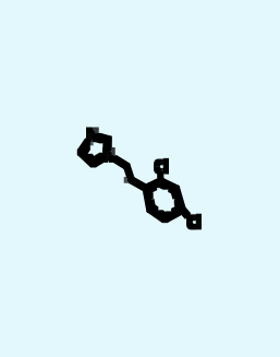 Clc1ccc([CH]Cn2ccnc2)c(Cl)c1